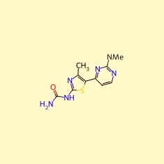 CNc1nccc(-c2sc(NC(N)=O)nc2C)n1